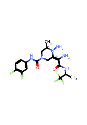 CC(NC(=O)/C(N)=C1\CN(C(=O)Nc2ccc(F)c(F)c2)C[C@@H](C)N1N)C(F)(F)F